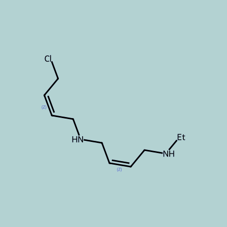 CCNC/C=C\CNC/C=C\CCl